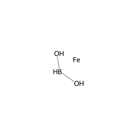 OBO.[Fe]